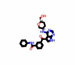 O=C(Nc1ccccc1)c1cccc(C(=O)c2c[nH]c3ncnc(N[C@@H]4CC[C@@H](CO)OC4)c23)c1